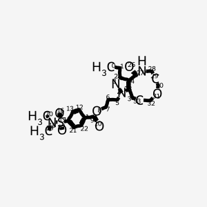 CCc1nn(CCCOC(=O)c2ccc(S(=O)(=O)N(C)C)cc2)c2c1C(=O)NCCCOCCC2